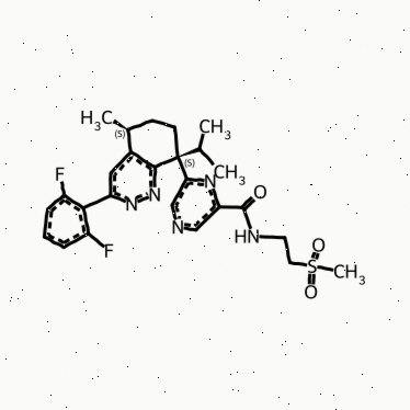 CC(C)[C@]1(c2cncc(C(=O)NCCS(C)(=O)=O)n2)CC[C@H](C)c2cc(-c3c(F)cccc3F)nnc21